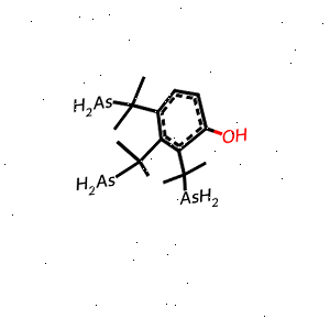 CC(C)([AsH2])c1ccc(O)c(C(C)(C)[AsH2])c1C(C)(C)[AsH2]